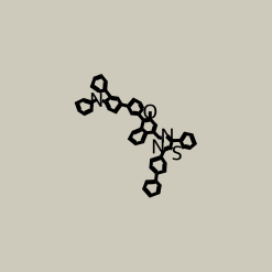 c1ccc(-c2ccc(-c3nc(-c4cc5oc6ccc(-c7ccc8c(c7)c7ccccc7n8-c7ccccc7)cc6c5c5ccccc45)nc4c3sc3ccccc34)cc2)cc1